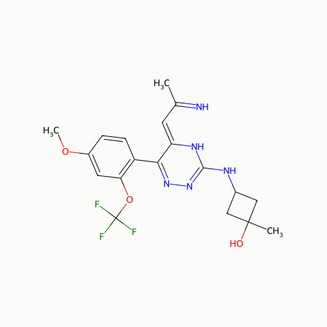 COc1ccc(C2=NN=C(NC3CC(C)(O)C3)N/C2=C\C(C)=N)c(OC(F)(F)F)c1